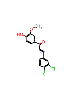 COc1cc(C(=O)/C=C/c2ccc(Cl)c(Cl)c2)ccc1O